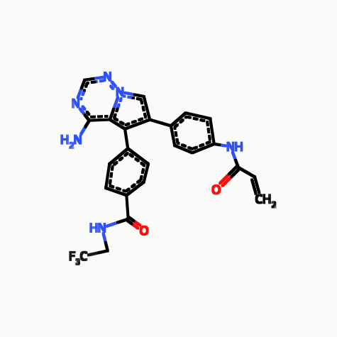 C=CC(=O)Nc1ccc(-c2cn3ncnc(N)c3c2-c2ccc(C(=O)NCC(F)(F)F)cc2)cc1